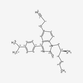 C#CCOc1ccc2c(c1)c(-c1ccc(C(C)C)cc1)nc(=O)n2C[C@@H](C)C/C=C/C